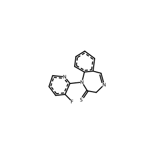 Fc1cccnc1N1C(=S)CN=Cc2ccccc21